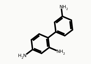 Nc1cccc(-c2ccc(N)cc2N)c1